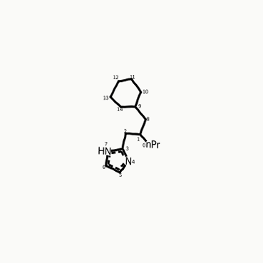 CCCC(Cc1ncc[nH]1)CC1CCCCC1